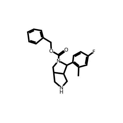 Cc1cc(F)ccc1C1C2CNCC2CN1C(=O)OCc1ccccc1